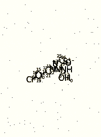 CCC[C@H](CO)NC1=NC(N2CCC(c3ccc(Cl)cc3)CC2)=NC2CC[S+]([O-])C12